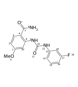 COc1ccc(C(N)=O)c(NC(=O)Nc2cccc(F)c2)c1